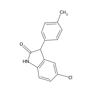 Cc1ccc(C2C(=O)Nc3ccc(Cl)cc32)cc1